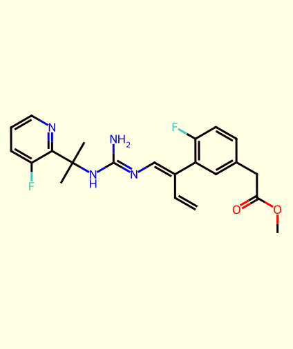 C=C/C(=C\N=C(/N)NC(C)(C)c1ncccc1F)c1cc(CC(=O)OC)ccc1F